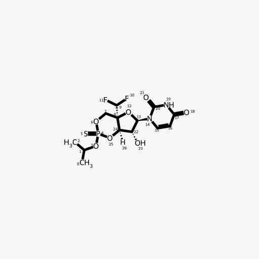 CC(C)OP1(=S)OC[C@@]2(C(F)F)O[C@@H](n3ccc(=O)[nH]c3=O)[C@H](O)[C@H]2O1